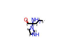 [CH2]CCC(N)(C=O)N1CCNC1